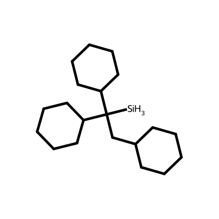 [SiH3]C(CC1CCCCC1)(C1CCCCC1)C1CCCCC1